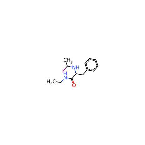 CCNC(=O)C(Cc1ccccc1)NC(C)I